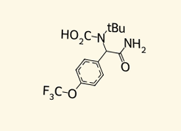 CC(C)(C)N(C(=O)O)C(C(N)=O)c1ccc(OC(F)(F)F)cc1